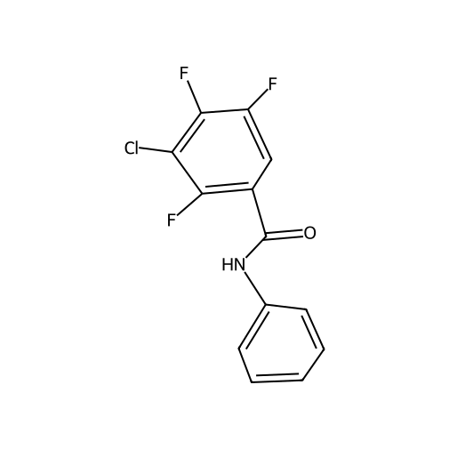 O=C(Nc1ccccc1)c1cc(F)c(F)c(Cl)c1F